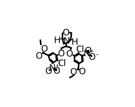 CCOC(=O)c1cc(OCC(COc2cc(C(=O)OCC)cc([N+](=O)[O-])c2Cl)N2[C@@H]3CC[C@H]2COC3)c(Cl)c([N+](=O)[O-])c1